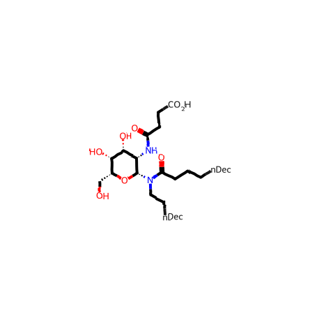 CCCCCCCCCCCCCC(=O)N(CCCCCCCCCCCC)[C@@H]1O[C@H](CO)[C@H](O)[C@H](O)[C@@H]1NC(=O)CCC(=O)O